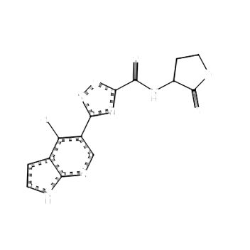 O=C(NC1CCOC1=O)c1nc(-c2cnc3[nH]ccc3c2Cl)no1